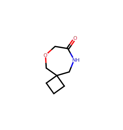 O=C1COCC2(CCC2)CN1